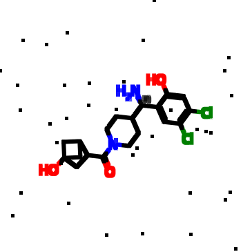 N[C@@H](c1cc(Cl)c(Cl)cc1O)C1CCN(C(=O)C2CC3(O)CC2C3)CC1